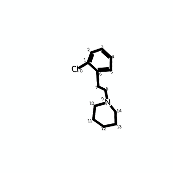 Clc1ccccc1CCN1CCCCC1